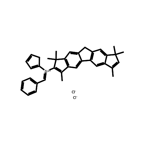 CC1=CC(C)(C)c2cc3c(cc21)-c1cc2c(cc1C3)C(C)(C)[C]([Zr+2](=[CH]c1ccccc1)[C]1=CC=CC1)=C2C.[Cl-].[Cl-]